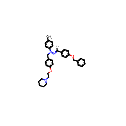 CC/C(=N\N(Cc1ccc(OCCN2CCCCC2)cc1)c1ccc(C)cc1)c1ccc(OCc2ccccc2)cc1